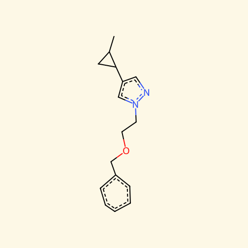 CC1CC1c1cnn(CCOCc2ccccc2)c1